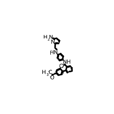 CC(=O)c1ccc(-c2ccccc2C(=O)Nc2ccc(NCCc3cccc(N)n3)cc2)cc1